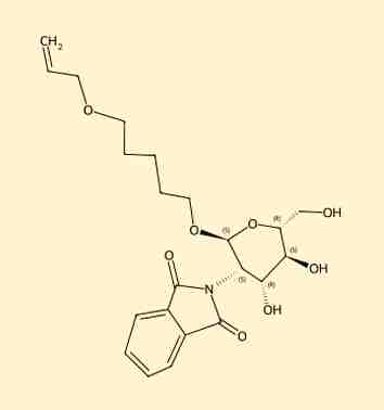 C=CCOCCCCCO[C@H]1O[C@H](CO)[C@@H](O)[C@H](O)[C@@H]1N1C(=O)c2ccccc2C1=O